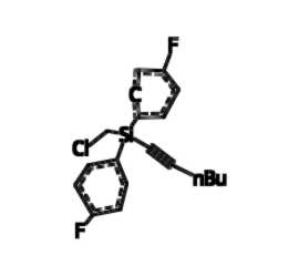 CCCCC#C[Si](CCl)(c1ccc(F)cc1)c1ccc(F)cc1